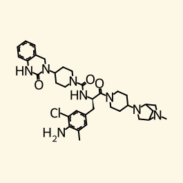 Cc1cc(C[C@@H](NC(=O)N2CCC(N3Cc4ccccc4NC3=O)CC2)C(=O)N2CCC(N3CC4CC3CN4C)CC2)cc(Cl)c1N